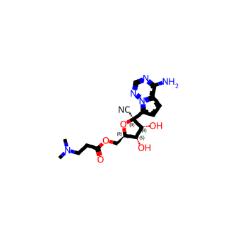 CN(C)CCC(=O)OC[C@H]1O[C@@](C#N)(c2ccc3c(N)ncnn23)[C@H](O)[C@@H]1O